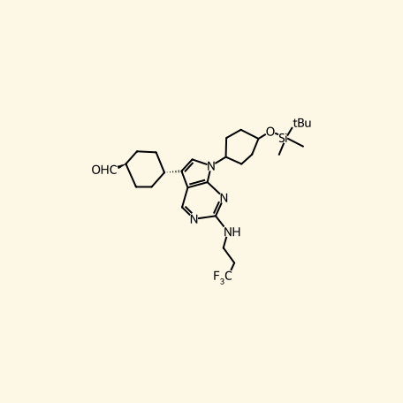 CC(C)(C)[Si](C)(C)OC1CCC(n2cc([C@H]3CC[C@H](C=O)CC3)c3cnc(NCCC(F)(F)F)nc32)CC1